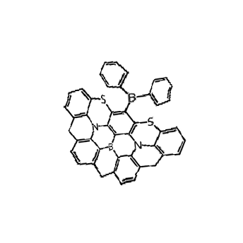 c1ccc(B(c2ccccc2)c2c3sc4cccc5c4n4c3c3c6c2sc2cccc7c2n6-c2c(ccc6c2B3c2c(ccc(c2-4)C5)C6)C7)cc1